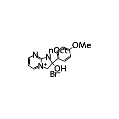 CCCCCCCCN1c2nccc[n+]2CC1(O)c1ccc(OC)cc1.[Br-]